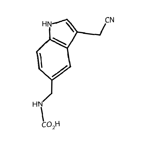 N#CCc1c[nH]c2ccc(CNC(=O)O)cc12